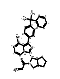 C=CC(=O)N1CC2CCCC2[C@H]1c1nc(-c2ccc(C(C)(O)c3ccccc3)cc2)c2c(N)nccn12